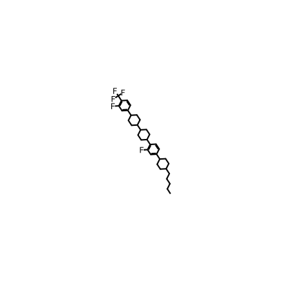 CCCCCC1CCC(c2ccc(C3CCC(C4CCC(c5ccc(C(F)(F)F)c(F)c5)CC4)CC3)c(F)c2)CC1